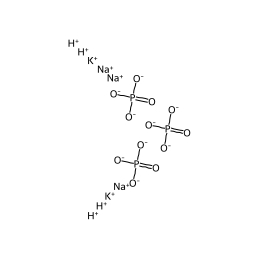 O=P([O-])([O-])[O-].O=P([O-])([O-])[O-].O=P([O-])([O-])[O-].[H+].[H+].[H+].[H+].[K+].[K+].[Na+].[Na+].[Na+]